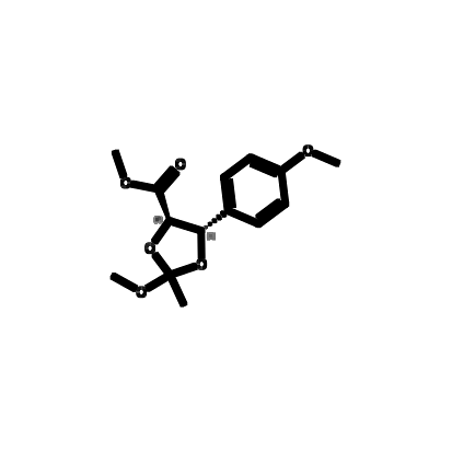 COC(=O)[C@@H]1OC(C)(OC)O[C@H]1c1ccc(OC)cc1